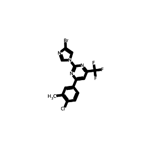 Cc1cc(-c2cc(C(F)(F)F)nc(-n3cnc(Br)c3)n2)ccc1Cl